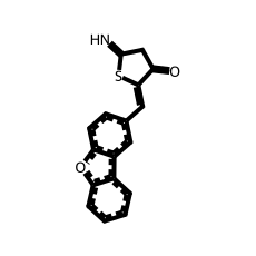 N=C1CC(=O)/C(=C/c2ccc3oc4ccccc4c3c2)S1